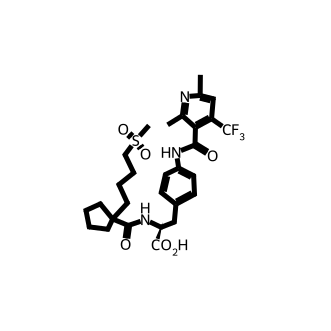 Cc1cc(C(F)(F)F)c(C(=O)Nc2ccc(C[C@H](NC(=O)C3(CCCCS(C)(=O)=O)CCCC3)C(=O)O)cc2)c(C)n1